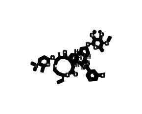 CC[C@H]1CCC[C@H](O[C@H]2CC[C@H](N(C)C)C(C)O2)[C@@H](C)C(=O)C2=C[C@H]3[C@@H]4C[C@H](O[C@@H]5OC(C)[C@H](OC)C(OC)C5OC)C[C@H]4c4sc(-c5cccc(Cl)c5)nc4[C@H]3[C@@H]2CC(=O)O1